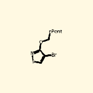 CCCCCCOc1nscc1Br